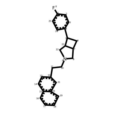 Fc1ccc(C2CC3CN(CCc4ccc5ccccc5c4)CC32)cc1